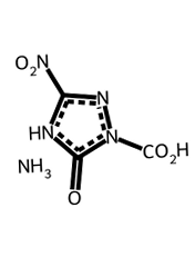 N.O=C(O)n1nc([N+](=O)[O-])[nH]c1=O